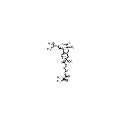 CCC(=O)C(C)(C)CC(CC(C)(CC)C(=O)OCCOC(=O)C(C)(C)CC)C(=O)OCCN(C)C